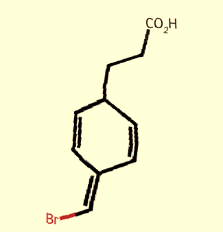 O=C(O)CCC1C=CC(=CBr)C=C1